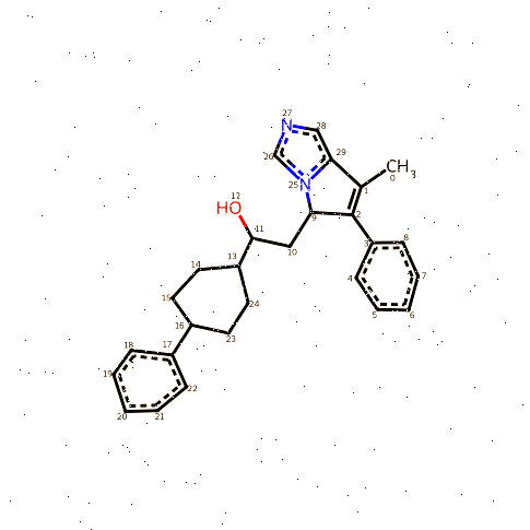 CC1=C(c2ccccc2)C(CC(O)C2CCC(c3ccccc3)CC2)n2cncc21